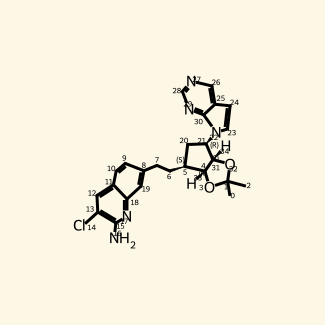 CC1(C)O[C@@H]2[C@@H](CCc3ccc4cc(Cl)c(N)nc4c3)C[C@@H](n3ccc4cncnc43)[C@@H]2O1